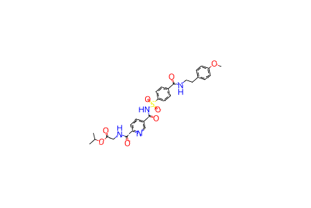 COc1ccc(CCNC(=O)c2ccc(S(=O)(=O)NC(=O)c3ccc(C(=O)NCC(=O)OC(C)C)nc3)cc2)cc1